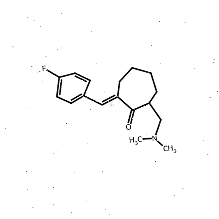 CN(C)CC1CCCC/C(=C\c2ccc(F)cc2)C1=O